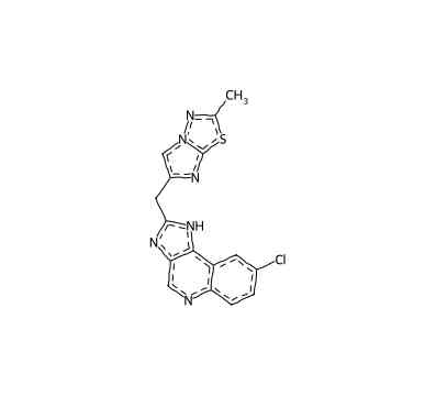 Cc1nn2cc(Cc3nc4cnc5ccc(Cl)cc5c4[nH]3)nc2s1